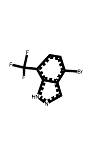 FC(F)(F)c1ccc(Br)c2cn[nH]c12